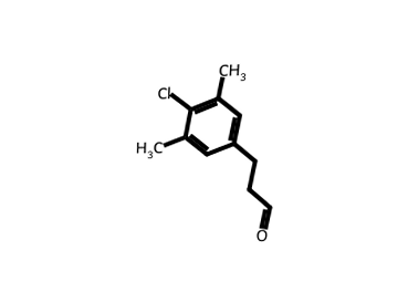 Cc1cc(CCC=O)cc(C)c1Cl